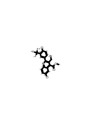 COC(=O)c1c(CBr)c(-c2ccc(Cl)c(C(F)(F)F)c2)nc2ccc(Cl)cc12